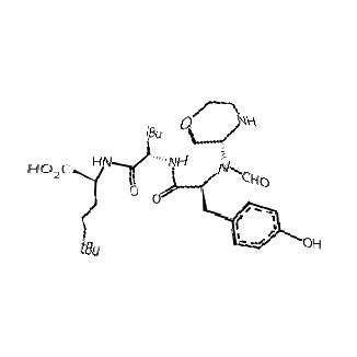 CC[C@H](C)[C@H](NC(=O)[C@H](Cc1ccc(O)cc1)N(C=O)[C@@H]1COCCN1)C(=O)N[C@@H](CCC(C)(C)C)C(=O)O